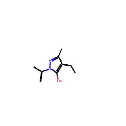 CCc1c(C)nn(C(C)C)c1O